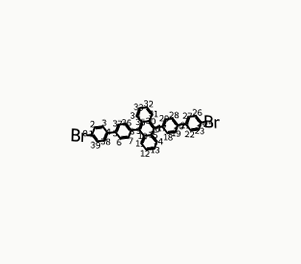 Brc1ccc(-c2ccc(-c3c4ccccc4c(-c4ccc(-c5ccc(Br)cc5)cc4)c4ccccc34)cc2)cc1